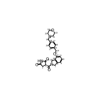 O=C1C[C@H](C(=O)N2Cc3cccc(OCc4ccc(CN5CCOCC5)cc4)c3C2)C(=O)N1